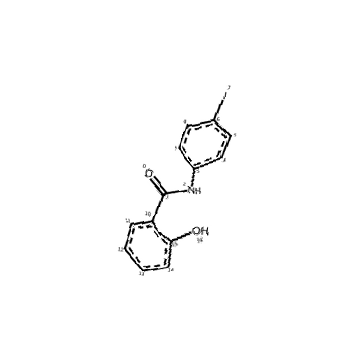 O=C(Nc1ccc(I)cc1)c1ccccc1O